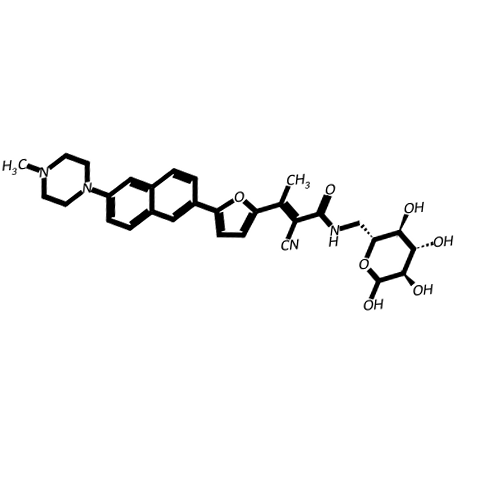 C/C(=C(/C#N)C(=O)NC[C@H]1OC(O)[C@H](O)[C@@H](O)[C@@H]1O)c1ccc(-c2ccc3cc(N4CCN(C)CC4)ccc3c2)o1